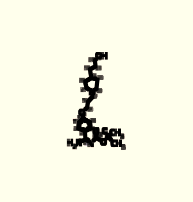 CC(C)(C)OC(=O)/N=C(/N)c1ccc(OCCCN2CCC(CCCO)CC2)cc1